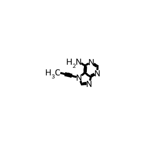 CC#Cn1cnc2ncnc(N)c21